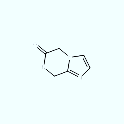 O=C1Cn2ccnc2CN1